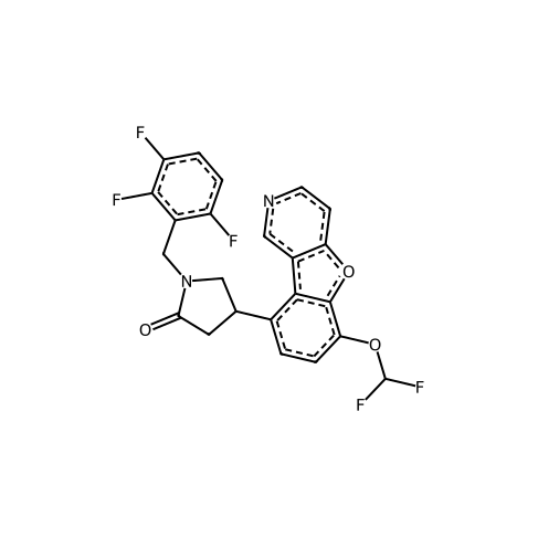 O=C1CC(c2ccc(OC(F)F)c3oc4ccncc4c23)CN1Cc1c(F)ccc(F)c1F